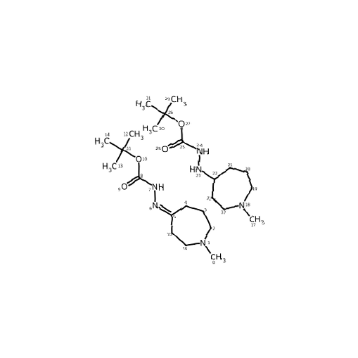 CN1CCCC(=NNC(=O)OC(C)(C)C)CC1.CN1CCCC(NNC(=O)OC(C)(C)C)CC1